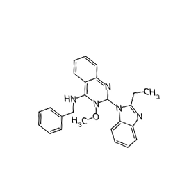 CCc1nc2ccccc2n1C1N=c2ccccc2=C(NCc2ccccc2)N1OC